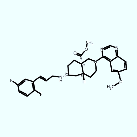 COC(=O)[C@@]12CC[C@@H](NCC=Cc3cc(F)ccc3F)C[C@H]1CCN(c1ncnc3ccc(OC)cc13)C2